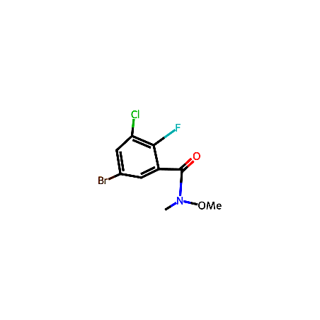 CON(C)C(=O)c1cc(Br)cc(Cl)c1F